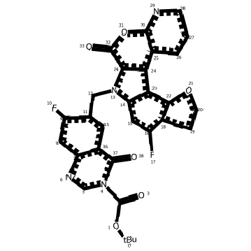 CC(C)(C)OC(=O)n1cnc2cc(F)c(Cn3c4cc(F)c5ccoc5c4c4c5cccnc5oc(=O)c43)cc2c1=O